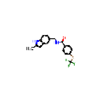 Cc1cc2cc(CNC(=O)c3ccc(SC(F)(F)F)cc3)ccc2[nH]1